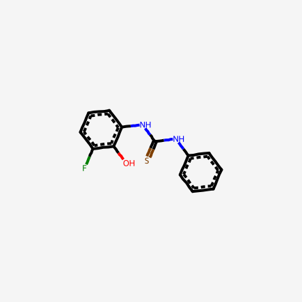 Oc1c(F)cccc1NC(=S)Nc1ccccc1